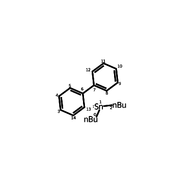 CCC[CH2][Sn][CH2]CCC.c1ccc(-c2ccccc2)cc1